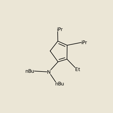 CCCCN(CCCC)C1=C(CC)C(C(C)C)=C(C(C)C)C1